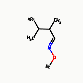 CCCC(C)C(C)/C=N/OCC